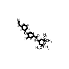 CC1(C)CC(NC(=O)c2ccc(Oc3cccc(CC#N)c3)c(Cl)c2)CC(C)(C)O1